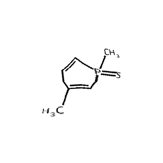 CC1=CP(C)(=S)C=C1